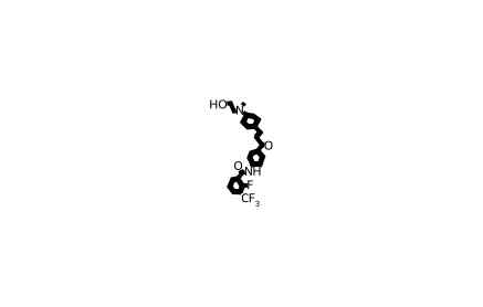 CN(CCO)c1ccc(/C=C/C(=O)c2ccc(NC(=O)c3cccc(C(F)(F)F)c3F)cc2)cc1